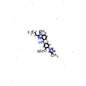 COc1cc(Nc2cccc3c2nc(CCC(F)(F)F)n3C)ccc1-n1cnc(C)c1